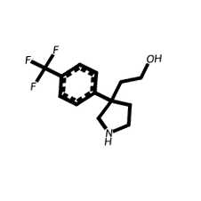 OCCC1(c2ccc(C(F)(F)F)cc2)CCNC1